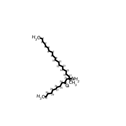 CCCCCCCCCCCCCCCCCCC(C)(N)CC(=O)CCCCCCCCC